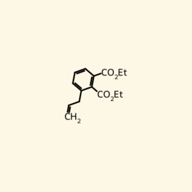 C=CCc1cccc(C(=O)OCC)c1C(=O)OCC